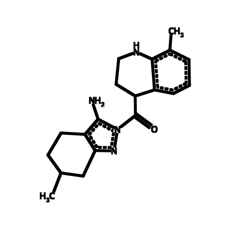 Cc1cccc2c1NCCC2C(=O)n1nc2c(c1N)CCC(C)C2